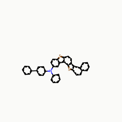 c1ccc(-c2ccc(N(c3ccccc3)c3ccc4sc5ccc6c(sc7ccc8ccccc8c76)c5c4c3)cc2)cc1